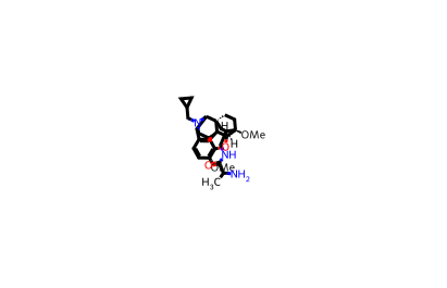 COc1ccc2c3c1O[C@H]1[C@@]4(OC)CC[C@@]5(C[C@@H]4CNC(=O)C(C)N)C(C2)N(CC2CC2)CC[C@]315